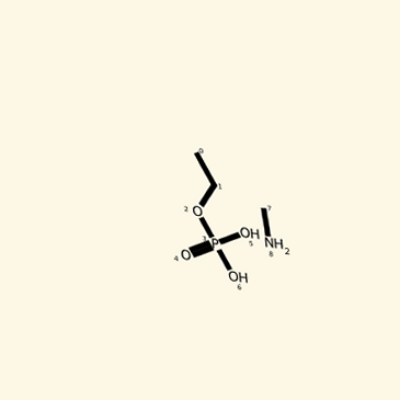 CCOP(=O)(O)O.CN